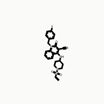 C=CS(=O)(=O)N1CCC(Nc2c(C#N)c(=O)n(Cc3ccc(F)cc3)c3ccccc23)CC1